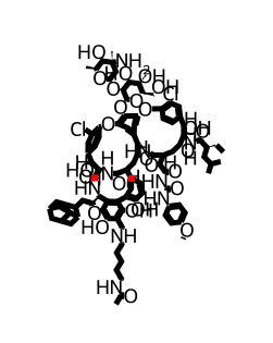 CC[C@H](CC(C)C)C(=O)N[C@H]1C(=O)C[C@@H](CC(=O)NC(=O)Nc2ccc(OC)cc2)C(=O)N[C@H]2C(=O)C[C@H]3C(=O)N[C@H](C(=O)N[C@H](C(=O)CC4C5CC6CC(C5)CC4C6)c4cc(O)c(CNCCCCCNC(C)=O)c(O)c4-c4cc3ccc4O)[C@H](O)c3ccc(c(Cl)c3)Oc3cc2cc(c3O[C@@H]2O[C@H](CO)[C@@H](O)[C@H](O)[C@H]2O[C@H]2C[C@](C)(N)[C@H](O)[C@H](C)O2)Oc2ccc(cc2Cl)[C@H]1O